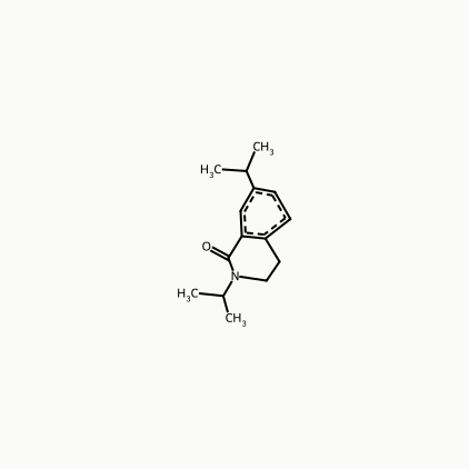 CC(C)c1ccc2c(c1)C(=O)N(C(C)C)CC2